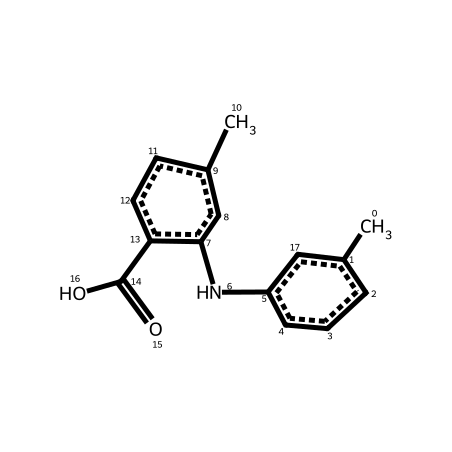 Cc1cccc(Nc2cc(C)ccc2C(=O)O)c1